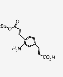 CC(C)(C)OC(=O)C=Cc1ccc(C=CC(=O)O)cc1N